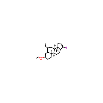 CCOC1=CC2=C(CC)C[C@@H]3[C@H](CC[C@]4(C)C(I)=CC[C@@H]34)[C@@]2(C)CC1